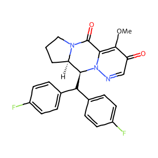 [CH2]Oc1c2n(ncc1=O)[C@@H](C(c1ccc(F)cc1)c1ccc(F)cc1)[C@H]1CCCN1C2=O